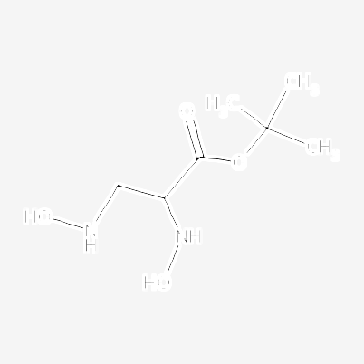 CC(C)(C)OC(=O)C(CNO)NO